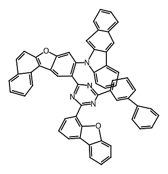 c1ccc(-c2cccc(-c3nc(-c4cc5c(cc4-n4c6ccccc6c6cc7ccccc7cc64)oc4ccc6ccccc6c45)nc(-c4cccc5c4oc4ccccc45)n3)c2)cc1